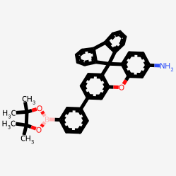 CC1(C)OB(c2cccc(-c3ccc4c(c3)Oc3cc(N)ccc3C43c4ccccc4-c4ccccc43)c2)OC1(C)C